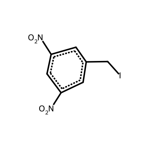 O=[N+]([O-])c1cc(CI)cc([N+](=O)[O-])c1